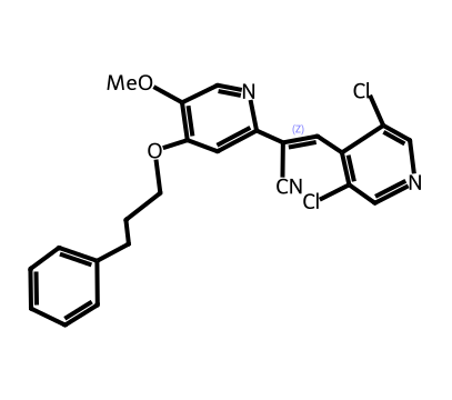 COc1cnc(/C(C#N)=C/c2c(Cl)cncc2Cl)cc1OCCCc1ccccc1